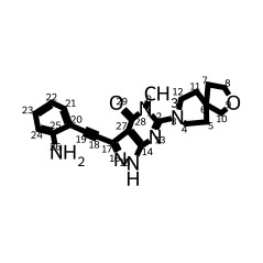 Cn1c(N2CCC3(CCOC3)CC2)nc2[nH]nc(C#Cc3ccccc3N)c2c1=O